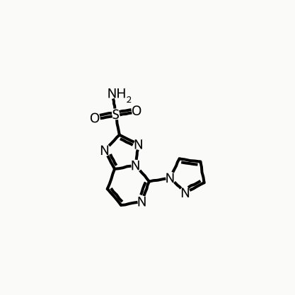 NS(=O)(=O)c1nc2ccnc(-n3cccn3)n2n1